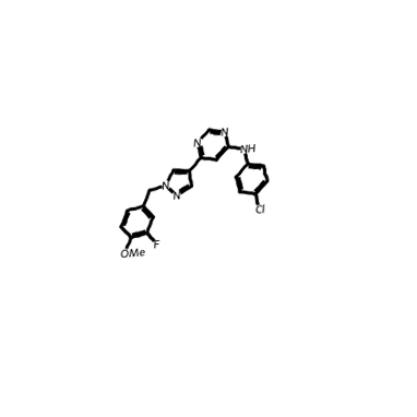 COc1ccc(Cn2cc(-c3cc(Nc4ccc(Cl)cc4)ncn3)cn2)cc1F